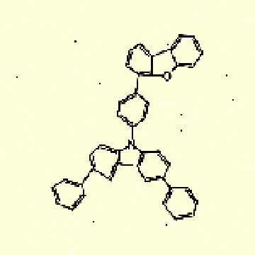 c1ccc(-c2ccc3c(c2)c2cc(-c4ccccc4)ccc2n3-c2ccc(-c3cccc4c3oc3ccccc34)cc2)cc1